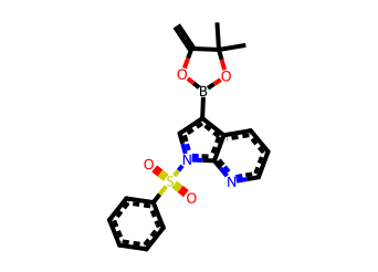 C=C1OB(c2cn(S(=O)(=O)c3ccccc3)c3ncccc23)OC1(C)C